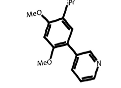 COc1cc(OC)c(C(C)C)cc1-c1cccnc1